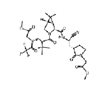 COC(=O)CN1CC[C@@H](C[C@@H](C#N)NC(=O)[C@@H]2C3[C@H](CN2C(=O)C(/C=[N+](/CC(=O)OC)C(=O)C(F)(F)F)C(C)(C)C)C3(C)C)C1=O